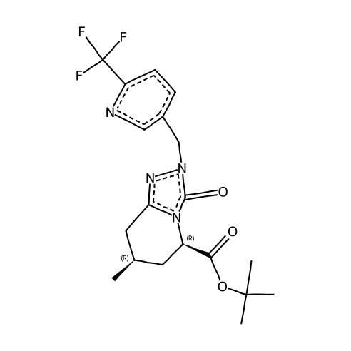 C[C@H]1Cc2nn(Cc3ccc(C(F)(F)F)nc3)c(=O)n2[C@@H](C(=O)OC(C)(C)C)C1